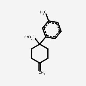 C=C1CCC(C(=O)OCC)(c2cccc(C)c2)CC1